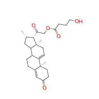 C[C@H]1CC2C3CCC4=CC(=O)CC[C@]4(C)C3=CC[C@]2(C)[C@H]1C(=O)COC(=O)CCCO